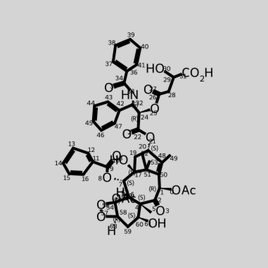 CC(=O)O[C@H]1C(=O)[C@@]2(C)[C@H]([C@H](OC(=O)c3ccccc3)[C@]3(O)C[C@H](OC(=O)[C@H](OC(=O)CC(O)C(=O)O)[C@@H](NC(=O)c4ccccc4)c4ccccc4)C(C)=C1C3(C)C)[C@]1(OC(C)=O)OO[C@@H]1C[C@@H]2O